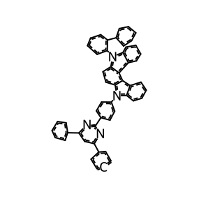 c1ccc(-c2cc(-c3ccccc3)nc(-c3ccc(-n4c5ccccc5c5c6c7ccccc7n(-c7ccccc7-c7ccccc7)c6ccc54)cc3)n2)cc1